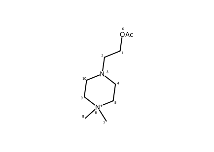 CC(=O)OCCN1CC[N+](C)(C)CC1